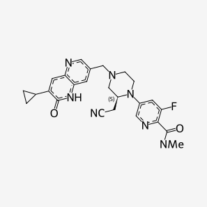 CNC(=O)c1ncc(N2CCN(Cc3cnc4cc(C5CC5)c(=O)[nH]c4c3)C[C@@H]2CC#N)cc1F